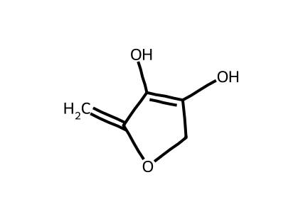 C=C1OCC(O)=C1O